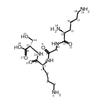 NCCCC[C@H](NC(=O)CNC(=O)[C@@H](N)CCCCN)C(=O)N[C@@H](CO)C(=O)O